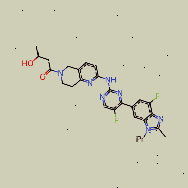 Cc1nc2c(F)cc(-c3nc(Nc4ccc5c(n4)CCN(C(=O)CC(C)O)C5)ncc3F)cc2n1C(C)C